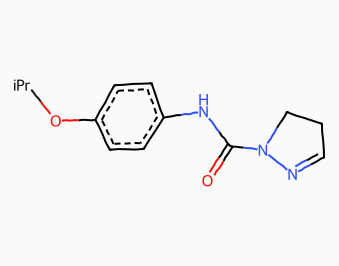 CC(C)Oc1ccc(NC(=O)N2CCC=N2)cc1